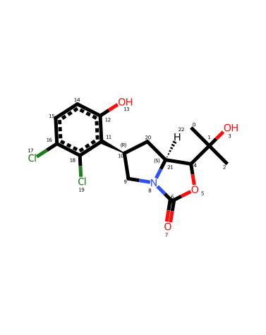 CC(C)(O)C1OC(=O)N2C[C@@H](c3c(O)ccc(Cl)c3Cl)C[C@@H]12